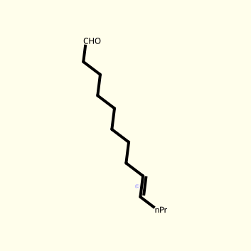 CCC/C=C/CCCCCCCC=O